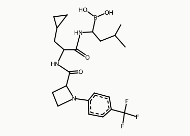 CC(C)CC(NC(=O)C(CC1CC1)NC(=O)C1CCN1c1ccc(C(F)(F)F)cc1)B(O)O